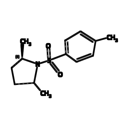 Cc1ccc(S(=O)(=O)N2C(C)CC[C@H]2C)cc1